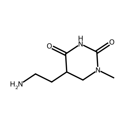 CN1CC(CCN)C(=O)NC1=O